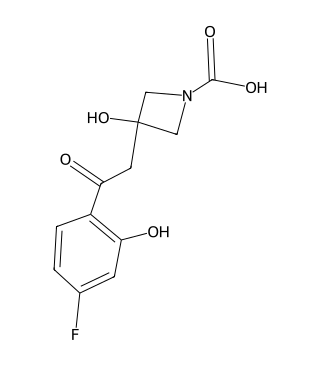 O=C(CC1(O)CN(C(=O)O)C1)c1ccc(F)cc1O